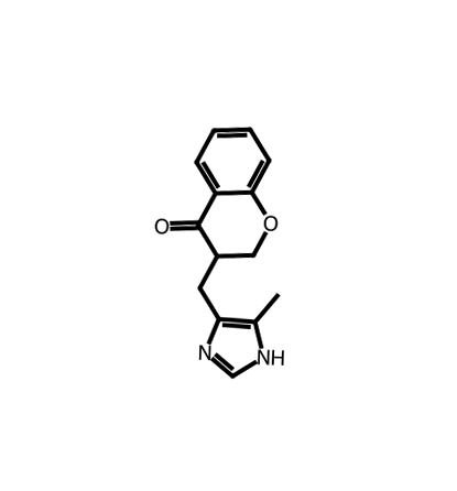 Cc1[nH]cnc1CC1COc2ccccc2C1=O